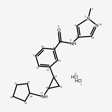 Cl.Cl.Cn1cc(NC(=O)c2cccc(C3CC3NC3CCCC3)c2)cn1